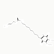 COC1=C(OC)C(=O)C(CCCCCCCCCNC(=O)OCCCO)=C(C)C1=O